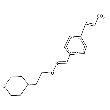 O=C(O)C=Cc1ccc(C=NOCCN2CCOCC2)cc1